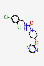 O=C(NCc1ccc(Cl)cc1Cl)N1CCC(Oc2cnccn2)CC1